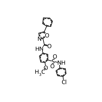 COc1ccc(NC(=O)c2ncc(-c3ccccc3)o2)cc1S(=O)(=O)Nc1ccc(Cl)cc1